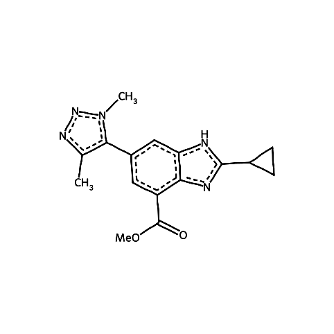 COC(=O)c1cc(-c2c(C)nnn2C)cc2[nH]c(C3CC3)nc12